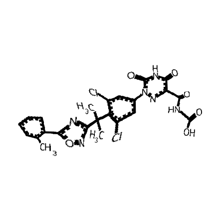 Cc1ccccc1-c1nc(C(C)(C)c2c(Cl)cc(-n3nc(C(=O)NC(=O)O)c(=O)[nH]c3=O)cc2Cl)no1